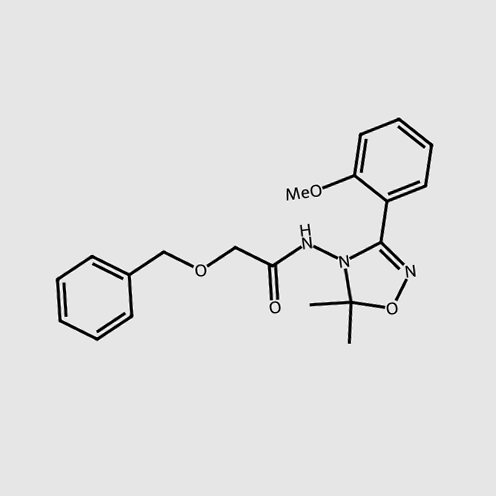 COc1ccccc1C1=NOC(C)(C)N1NC(=O)COCc1ccccc1